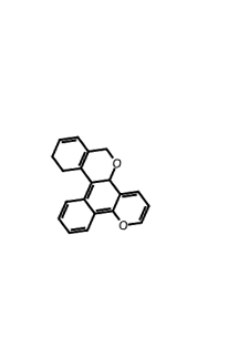 C1=COC2=c3ccccc3=C3C4=C(C=CCC4)COC3C2=C1